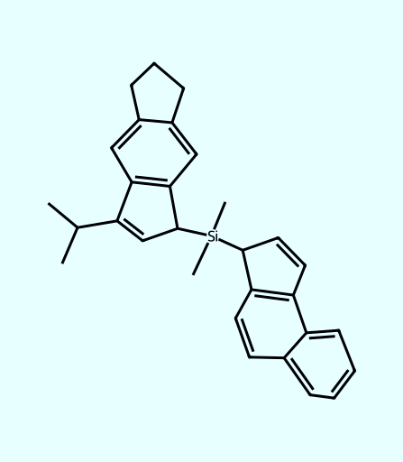 CC(C)C1=CC([Si](C)(C)C2C=Cc3c2ccc2ccccc32)c2cc3c(cc21)CCC3